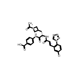 CC(=O)N1CC(C[C@H](NC(=O)/C=C/c2cc(Cl)ccc2-n2cnnn2)C(=O)Nc2ccc(C(=O)O)cc2)C1